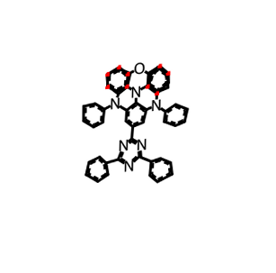 c1ccc(-c2nc(-c3ccccc3)nc(-c3cc(N(c4ccccc4)c4ccccc4)c(N4c5ccccc5Oc5ccccc54)c(N(c4ccccc4)c4ccccc4)c3)n2)cc1